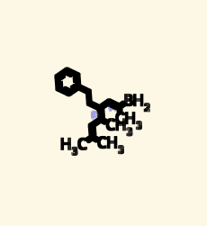 B/C(C)=C/C(CCc1ccccc1)=C(\C)C=C(C)C